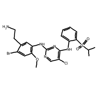 COc1cc(Br)c(CCN)cc1Nc1ncc(Cl)c(Nc2ccccc2S(=O)(=O)C(C)C)n1